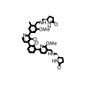 COc1cc(-c2nccc(-c3cccc(-c4ccc(CNC[C@@H]5CCC(=O)N5)c(OC)n4)c3Cl)c2Cl)cc(C)c1CNC[C@H]1CCC(=O)N1